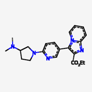 CCOC(=O)c1nc2ccccn2c1-c1ccc(N2CCC(N(C)C)C2)nc1